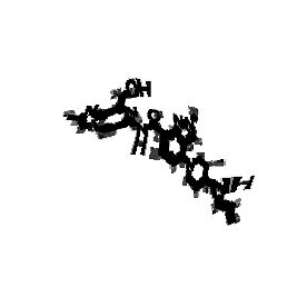 C=CCNC1CCN(c2ccc(C(=O)Nc3cn4cc(C)nc4c(CO)n3)c3nn(C)cc23)CC1